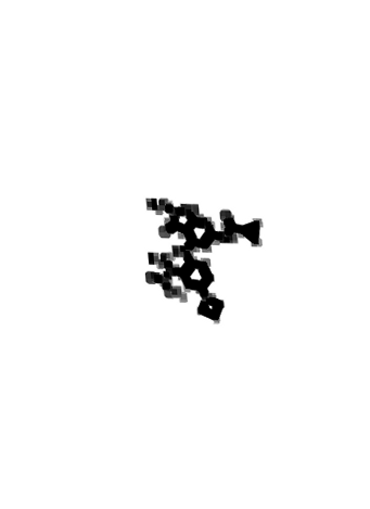 CN(c1cc(N2CCC2)ccc1Nc1cc(NC(=O)C2CC2)nc2[nH]n(C)c(=O)c12)[S+](C)[O-]